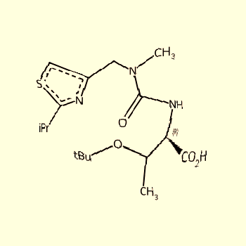 CC(C)c1nc(CN(C)C(=O)N[C@@H](C(=O)O)C(C)OC(C)(C)C)cs1